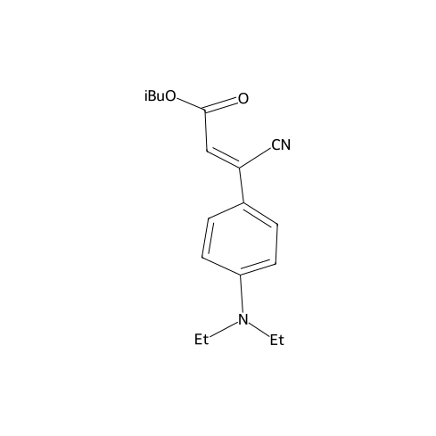 CCN(CC)c1ccc(C(C#N)=CC(=O)OCC(C)C)cc1